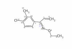 C=C/C(=N\OCC)c1ccc(Cl)c(C)c1